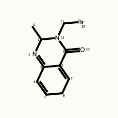 CC1N=C2C=CCC=C2C(=O)N1CBr